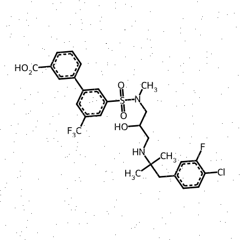 CN(CC(O)CNC(C)(C)Cc1ccc(Cl)c(F)c1)S(=O)(=O)c1cc(-c2cccc(C(=O)O)c2)cc(C(F)(F)F)c1